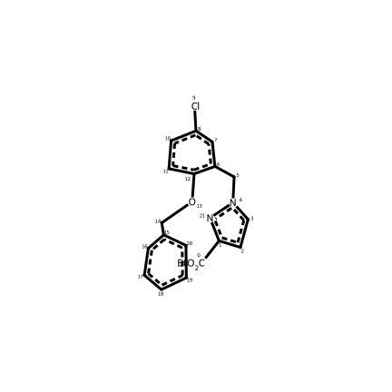 CCOC(=O)c1ccn(Cc2cc(Cl)ccc2OCc2ccccc2)n1